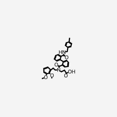 COc1cccc(CCN(CCC(=O)O)C(=O)c2ccccc2-c2ccccc2C(=O)NCc2ccc(C)cc2)c1OC